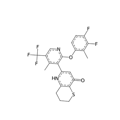 Cc1c(Oc2ncc(C(F)(F)F)c(C)c2-c2cc(=O)c3c([nH]2)CCCS3)ccc(F)c1F